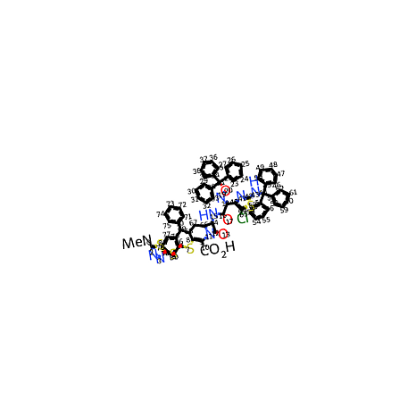 CNc1nnc(SCSC2=C(C(=O)O)N3C(=O)C(NC(=O)C(=NOC(c4ccccc4)(c4ccccc4)c4ccccc4)c4nc(NC(c5ccccc5)(c5ccccc5)c5ccccc5)sc4Cl)C3CC2C(c2ccccc2)c2ccccc2)s1